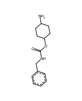 NC1CCC(OC(=O)NCc2ccccc2)CC1